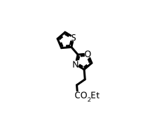 CCOC(=O)CCc1coc(-c2cccs2)n1